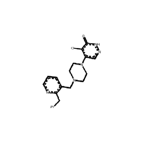 CC(C)Cc1ncccc1CN1CCN(c2cn[nH]c(=O)c2Cl)CC1